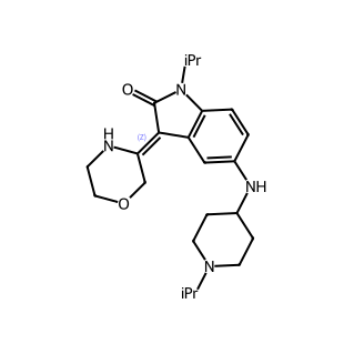 CC(C)N1CCC(Nc2ccc3c(c2)/C(=C2\COCCN2)C(=O)N3C(C)C)CC1